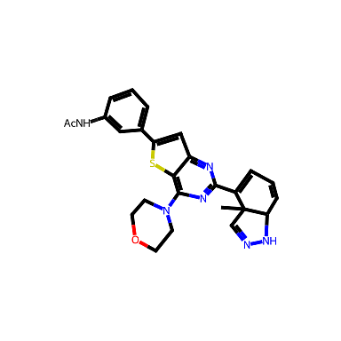 CC(=O)Nc1cccc(-c2cc3nc(C4=CC=CC5NN=CC45C)nc(N4CCOCC4)c3s2)c1